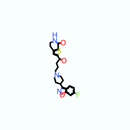 O=C(CCCN1CCC(c2noc3cc(F)ccc23)CC1)c1cc2c(s1)C(=O)NCC2